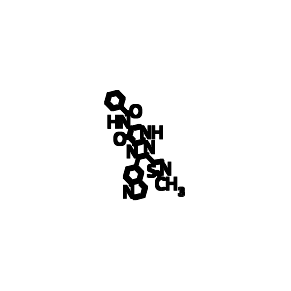 Cc1ncc(-c2nc3[nH]cc(NC(=O)c4ccccc4)c(=O)c3nc2-c2ccc3ncccc3c2)s1